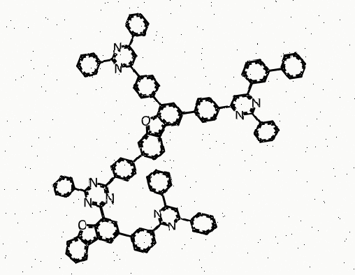 c1ccc(-c2cccc(-c3cc(-c4ccc(-c5cc(-c6ccc(-c7cc(-c8ccccc8)nc(-c8ccccc8)n7)cc6)c6oc7cc(-c8ccc(-c9nc(-c%10ccccc%10)nc(-c%10cc(-c%11cccc(-c%12nc(-c%13ccccc%13)cc(-c%13ccccc%13)n%12)c%11)cc%11c%10oc%10ccccc%10%11)n9)cc8)ccc7c6c5)cc4)nc(-c4ccccc4)n3)c2)cc1